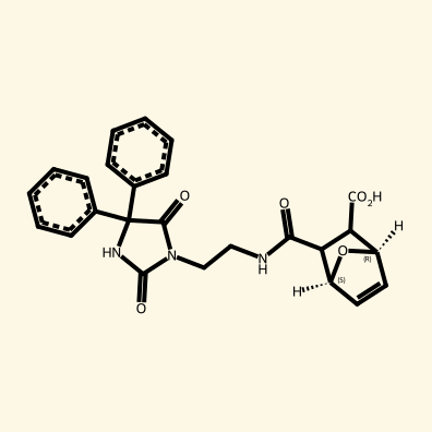 O=C(NCCN1C(=O)NC(c2ccccc2)(c2ccccc2)C1=O)C1C(C(=O)O)[C@H]2C=C[C@@H]1O2